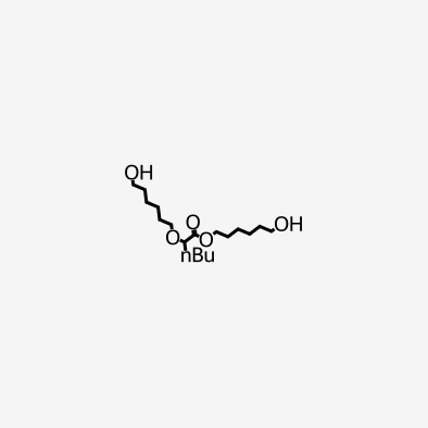 CCCCC(OCCCCCCO)C(=O)OCCCCCCO